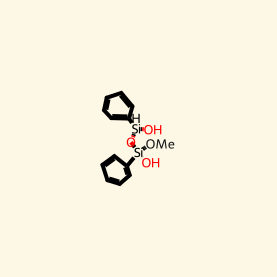 CO[Si](O)(O[SiH](O)c1ccccc1)c1ccccc1